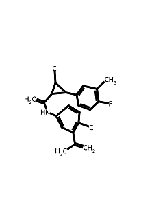 C=C(C)c1cc(NC(=C)C2C(Cl)C2c2ccc(F)c(C)c2)ccc1Cl